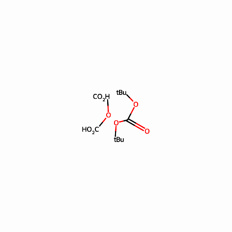 CC(C)(C)OC(=O)OC(C)(C)C.O=C(O)OC(=O)O